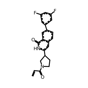 C=CC(=O)N1CCC(c2cc3ccc(-c4cc(F)cc(F)c4)cc3c(=O)[nH]2)C1